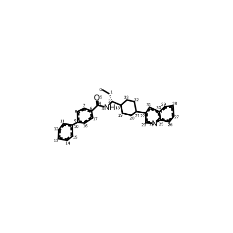 CC[C@@H](NC(=O)c1ccc(-c2ccccc2)cc1)C1CCC(c2cnc3ccccc3c2)CC1